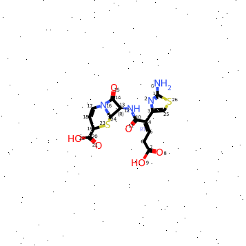 Nc1nc(/C(=C/CC(=O)O)C(=O)N[C@@H]2C(=O)N3C=CC(C(=O)O)SC23)cs1